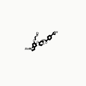 CCOCCOc1cc2c(ccn2NC)cc1Oc1ccnc(NC(=O)c2ccc(C3CNC3)cc2)c1